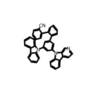 N#Cc1ccccc1-c1ccccc1-c1cc(-n2c3ccccc3c3ccccc32)cc(-n2c3ccccc3c3ccncc32)c1